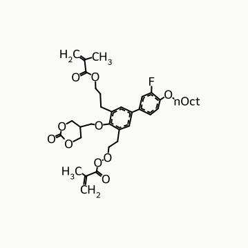 C=C(C)C(=O)OCCCc1cc(-c2ccc(OCCCCCCCC)c(F)c2)cc(CCOOC(=O)C(=C)C)c1OCC1COC(=O)OC1